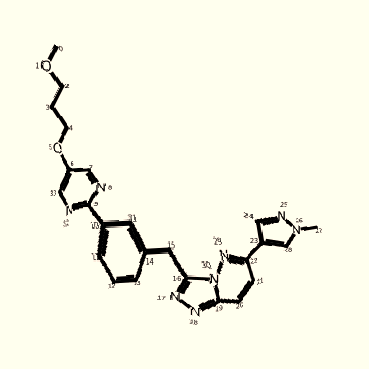 COCCCOc1cnc(-c2cccc(Cc3nnc4ccc(-c5cnn(C)c5)nn34)c2)nc1